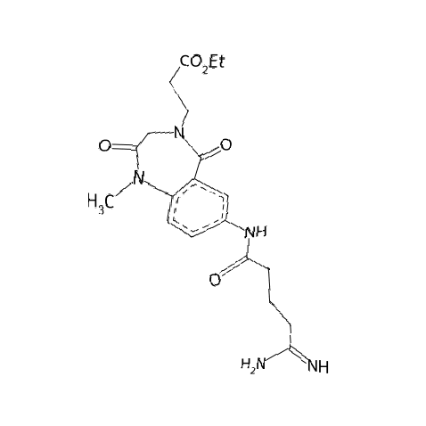 CCOC(=O)CCN1CC(=O)N(C)c2ccc(NC(=O)CCCC(=N)N)cc2C1=O